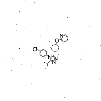 CC(C)c1nnc([C@H]2CC[C@H](Oc3ccccn3)CC2)n1-c1ccc(Cl)cc1